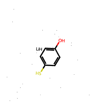 Oc1ccc(S)cc1.[LiH]